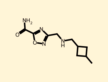 CC1CC(CNCc2noc(C(N)=O)n2)C1